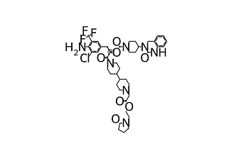 Nc1c(Cl)cc(C[C@@H](OC(=O)N2CCC(N3Cc4ccccc4NC3=O)CC2)C(=O)N2CCC(C3CCN(CC(=O)OCCN4CCCC4=O)CC3)CC2)cc1C(F)(F)F